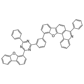 c1ccc(-c2nc(-c3cccc(-c4cccc5c4oc4c5ccc5c(-c6ccccc6)nc6ccccc6c54)c3)nc(-c3cccc4c3oc3ccccc34)n2)cc1